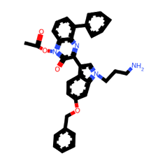 CC(=O)On1c(=O)c(-c2cn(CCCN)c3cc(OCc4ccccc4)ccc23)nc2c(-c3ccccc3)cccc21